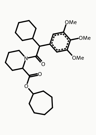 COc1cc(C(C(=O)N2CCCCC2C(=O)OC2CCCCCC2)C2CCCCC2)cc(OC)c1OC